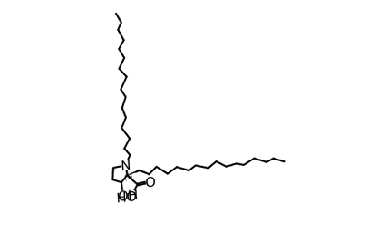 CCCCCCCCCCCCCCCCN1CCC(O)[C@@]1(CCCCCCCCCCCCCCCC)C(=O)O